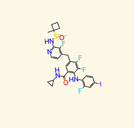 CC1([S+]([O-])Nc2nccc(Cc3cc(C(=O)NC4CC4)c(Nc4ccc(I)cc4F)c(F)c3F)c2F)CCC1